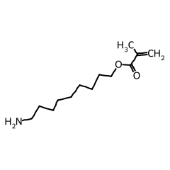 C=C(C)C(=O)OCCCCCCCCCN